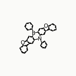 c1ccc(B2c3cc4oc5ccccc5c4cc3N(c3ccccc3)c3cc4c(cc32)oc2ccccc24)cc1